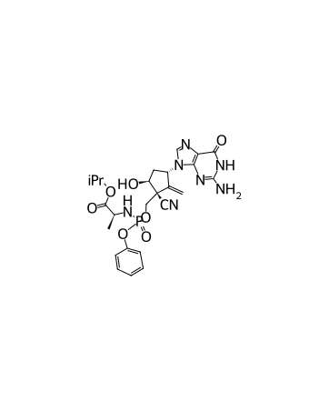 C=C1[C@@H](n2cnc3c(=O)[nH]c(N)nc32)C[C@H](O)[C@@]1(C#N)CO[P@](=O)(N[C@@H](C)C(=O)OC(C)C)Oc1ccccc1